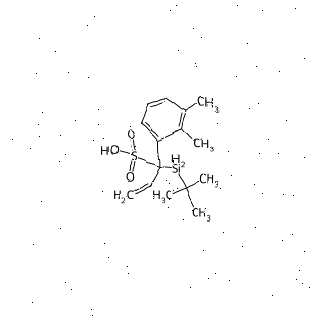 C=CC([SiH2]C(C)(C)C)(c1cccc(C)c1C)S(=O)(=O)O